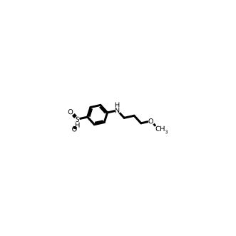 COCCCNc1ccc([SH](=O)=O)cc1